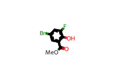 COC(=O)c1cc(Br)cc(F)c1O